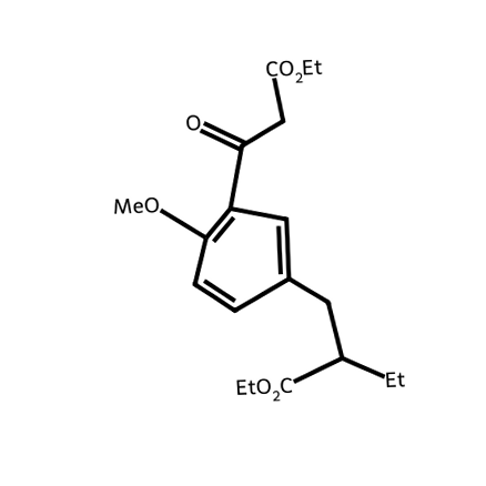 CCOC(=O)CC(=O)c1cc(CC(CC)C(=O)OCC)ccc1OC